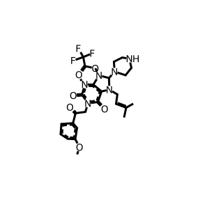 COc1cccc(C(=O)Cn2c(=O)c3c(n(C)c2=O)N(OC(=O)C(F)(F)F)C(N2CCNCC2)N3CC=C(C)C)c1